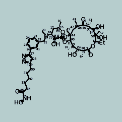 CC[C@H]1OC(=O)[C@H](C)[C@@H](O)[C@H](C)[C@@H](O[C@@H]2O[C@H](C)C[C@H](N(C)Cc3cccc(-c4cn(CCCCCC(=O)NO)nn4)c3)[C@H]2O)[C@](C)(OC)C[C@@H](C)C(=O)[C@H](C)[C@@H](O)[C@]1(C)O